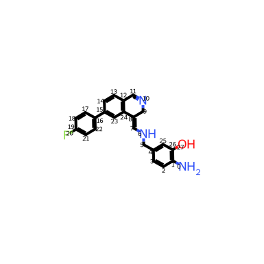 Nc1ccc(CNC=C2CN=Cc3ccc(-c4ccc(F)cc4)cc32)cc1O